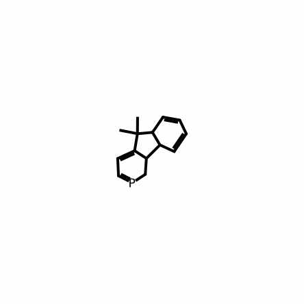 CC1(C)C2=CC=PCC2C2C=CC=CC21